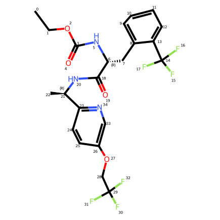 CCOC(=O)N[C@H](Cc1ccccc1C(F)(F)F)C(=O)N[C@H](C)c1ccc(OCC(F)(F)F)cn1